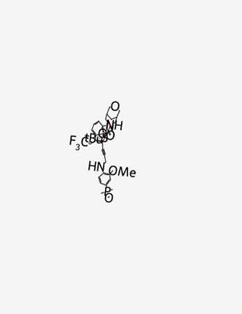 COc1cc(P(C)(C)=O)ccc1NCC#Cc1sc2c(NC3C4COCC3CN(C(=O)OC(C)(C)C)C4)cccc2c1CC(F)(F)F